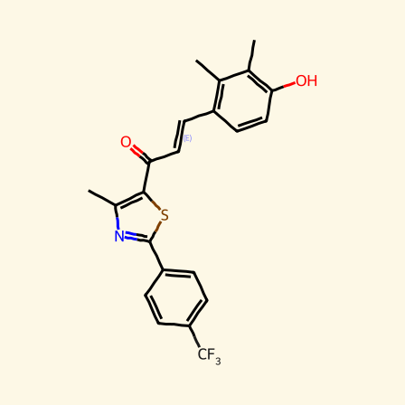 Cc1nc(-c2ccc(C(F)(F)F)cc2)sc1C(=O)/C=C/c1ccc(O)c(C)c1C